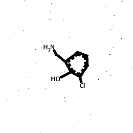 NCc1c[c]cc(Cl)c1O